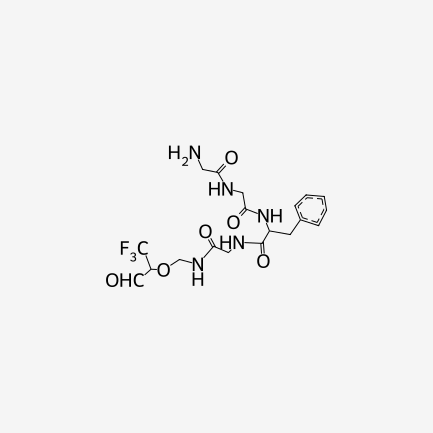 NCC(=O)NCC(=O)NC(Cc1ccccc1)C(=O)NCC(=O)NCOC(C=O)C(F)(F)F